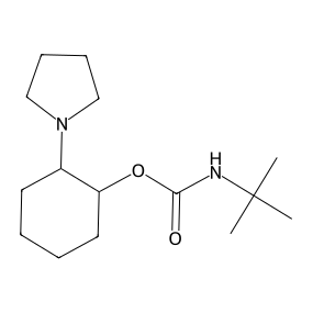 CC(C)(C)NC(=O)OC1CCCCC1N1CCCC1